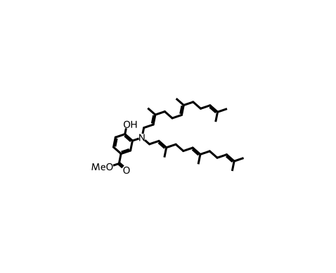 COC(=O)c1ccc(O)c(N(C/C=C(\C)CC/C=C(\C)CCC=C(C)C)C/C=C(\C)CC/C=C(\C)CCC=C(C)C)c1